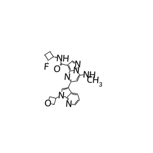 CNc1cc(-c2cn(C3COC3)c3ncccc23)nc2c(C(=O)N[C@@H]3CC[C@H]3F)cnn12